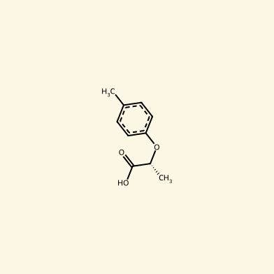 Cc1ccc(O[C@H](C)C(=O)O)cc1